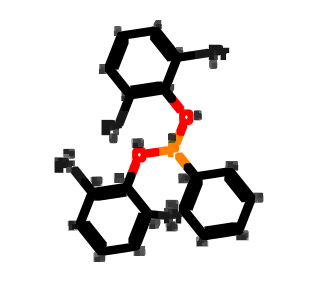 CC(C)c1cccc(C(C)C)c1OP(Oc1c(C(C)C)cccc1C(C)C)c1ccccc1